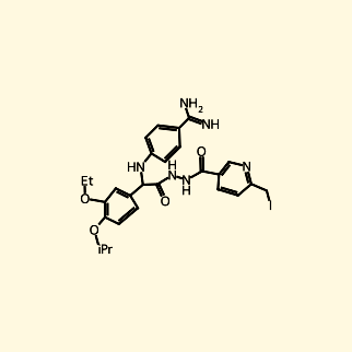 CCOc1cc(C(Nc2ccc(C(=N)N)cc2)C(=O)NNC(=O)c2ccc(CI)nc2)ccc1OC(C)C